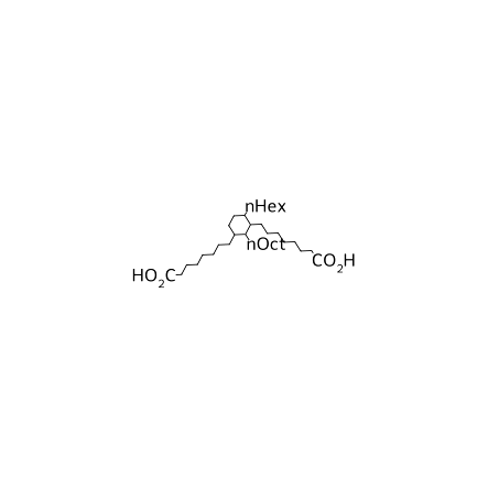 CCCCCCCCC1C(CCCCCCCC(=O)O)CCC(CCCCCC)C1CCCCCCCC(=O)O